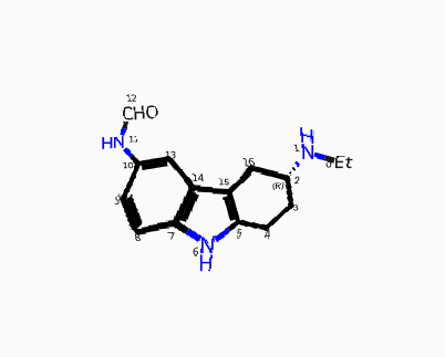 CCN[C@@H]1CCc2[nH]c3ccc(NC=O)cc3c2C1